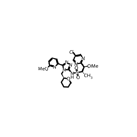 COc1cccc(-c2nnc(NS(=O)(=O)[C@@H](C)[C@H](OC)c3ncc(Cl)cn3)n2C[C@@H]2CCCCO2)n1